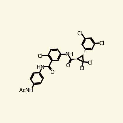 CC(=O)Nc1ccc(NC(=O)c2cc(NC(=O)[C@H]3[C@H](c4cc(Cl)cc(Cl)c4)C3(Cl)Cl)ccc2Cl)cc1